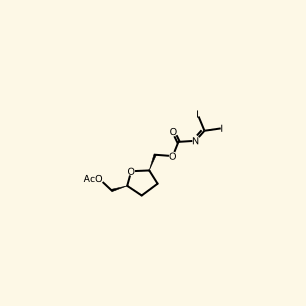 CC(=O)OC[C@@H]1CC[C@H](COC(=O)N=C(I)I)O1